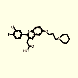 O=C(O)Cc1cc2cc(OCCCN3CCCCC3)ccc2nc1-c1ccc(F)c(Cl)c1